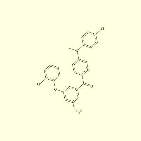 CN(c1ccc(Cl)cc1)c1ccc(C(=O)c2cc(Oc3ccccc3Cl)cc(C(=O)O)c2)nc1